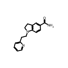 NC(=O)c1ccc2c(c1)CCN2CCc1ccccn1